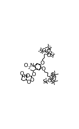 CC(OC(=O)ON1C(=O)CCC1=O)c1cc(OCCC[Si](O[Si](C)(C)C)(O[Si](C)(C)C)O[Si](C)(C)C)c(OCCC[Si](O[Si](C)(C)C)(O[Si](C)(C)C)O[Si](C)(C)C)cc1[N+](=O)[O-]